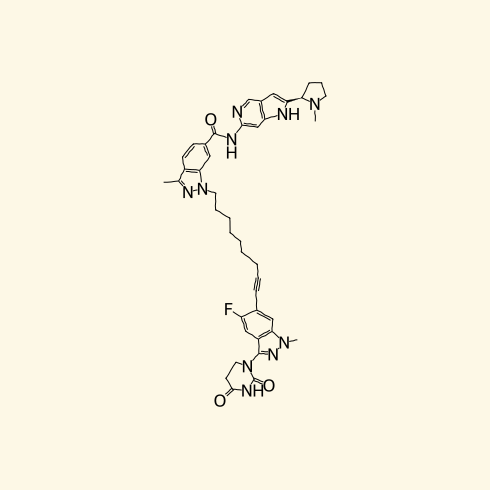 Cc1nn(CCCCCCCC#Cc2cc3c(cc2F)c(N2CCC(=O)NC2=O)nn3C)c2cc(C(=O)Nc3cc4[nH]c([C@H]5CCCN5C)cc4cn3)ccc12